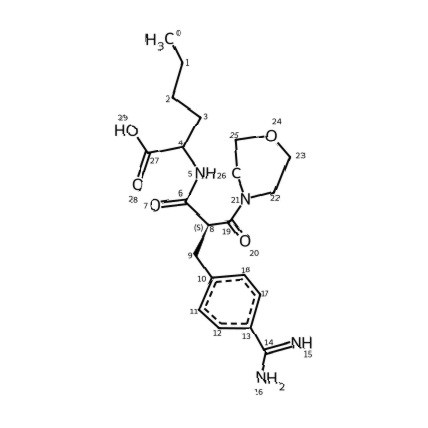 CCCCC(NC(=O)[C@H](Cc1ccc(C(=N)N)cc1)C(=O)N1CCOCC1)C(=O)O